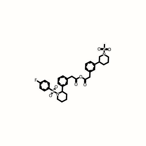 CS(=O)(=O)N1CCCC(c2cccc(CC(=O)OC(=O)Cc3cccc(C4CCCCN4S(=O)(=O)c4ccc(F)cc4)c3)c2)C1